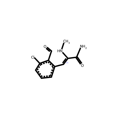 CN/C(=C\c1cccc(Cl)c1C=O)C(N)=O